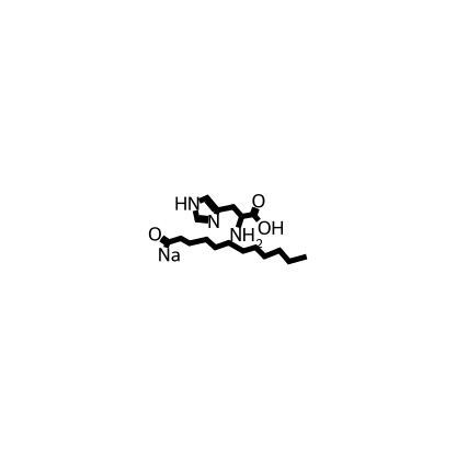 CCCCCCCCCCC[C](=O)[Na].NC(Cc1c[nH]cn1)C(=O)O